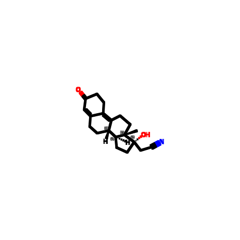 C[C@]12CCC3=C4CCC(=O)C=C4CC[C@H]3[C@@H]1CC[C@]2(O)CC#N